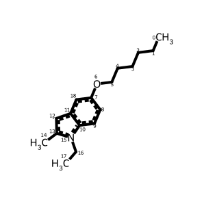 CCCCCCOc1ccc2c([c]c(C)n2CC)c1